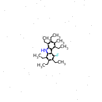 CCc1c(CC)c(F)c2c([nH]c3c(CC)c(CC)c(C)c(CC)c32)c1CC